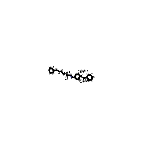 COc1cc(/C=C/C(=O)NCCCCc2ccccc2)cc(OC)c1OCc1ccccc1